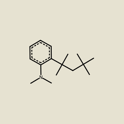 CN(C)c1ccccc1C(C)(C)CC(C)(C)C